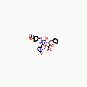 COc1ccc(C[C@H](NC(=O)[C@H]2CCCC(=O)N2)C(=O)N[C@@H](Cc2ccccc2)C(=O)[C@@]2(C)CO2)cc1